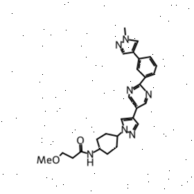 COCCC(=O)NC1CCC(n2cc(-c3cnc(-c4cccc(-c5cnn(C)c5)c4)nc3)cn2)CC1